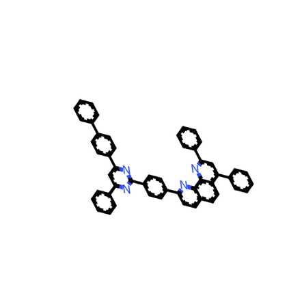 c1ccc(-c2ccc(-c3cc(-c4ccccc4)nc(-c4ccc(-c5ccc6ccc7c(-c8ccccc8)cc(-c8ccccc8)nc7c6n5)cc4)n3)cc2)cc1